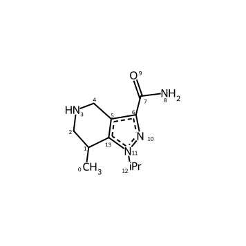 CC1CNCc2c(C(N)=O)nn(C(C)C)c21